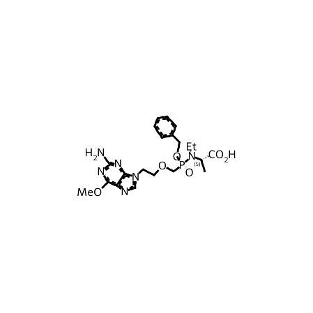 CCN([C@@H](C)C(=O)O)P(=O)(COCCn1cnc2c(OC)nc(N)nc21)OCc1ccccc1